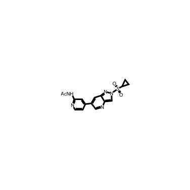 CC(=O)Nc1cc(-c2cnc3cn(S(=O)(=O)C4CC4)nc3c2)ccn1